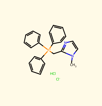 Cl.Cn1ccnc1C[P+](c1ccccc1)(c1ccccc1)c1ccccc1.[Cl-]